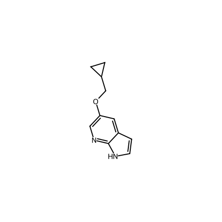 c1cc2cc(OCC3CC3)cnc2[nH]1